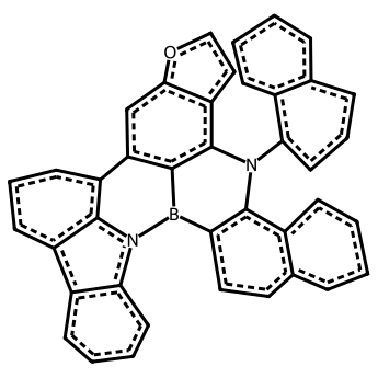 c1ccc2c(N3c4c(ccc5ccccc45)B4c5c(cc6occc6c53)-c3cccc5c6ccccc6n4c35)cccc2c1